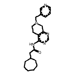 O=C(CC1CCCCCC1)Nc1ncnc2c1CCN(Cc1cccnc1)C2